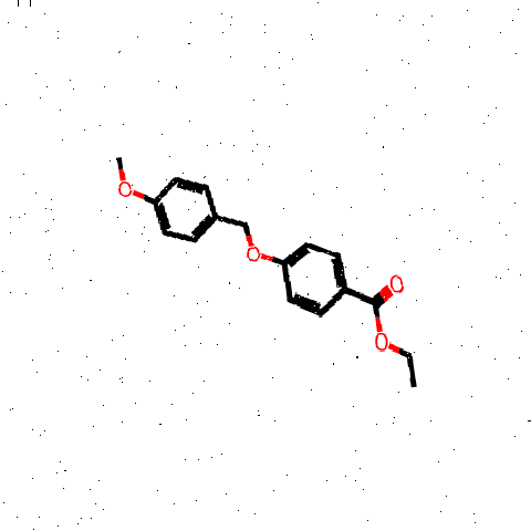 CCOC(=O)c1ccc(OCc2ccc(OC)cc2)cc1